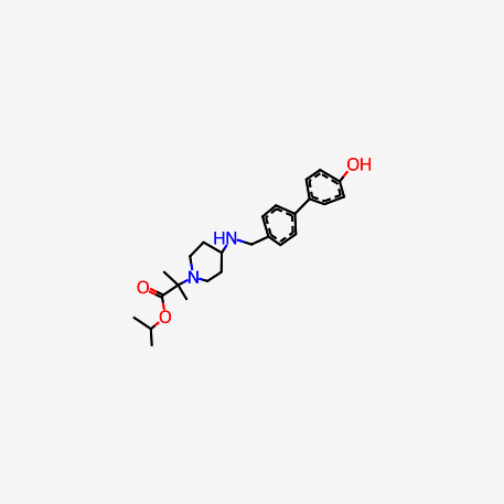 CC(C)OC(=O)C(C)(C)N1CCC(NCc2ccc(-c3ccc(O)cc3)cc2)CC1